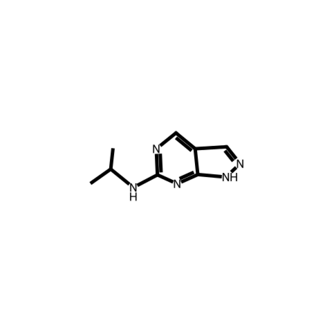 CC(C)Nc1ncc2cn[nH]c2n1